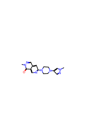 Cn1cc(N2CCN(c3cc4cnn(C)c(=O)c4cn3)CC2)cn1